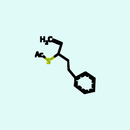 C=CC(CCc1ccccc1)SC(C)=O